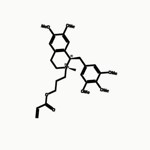 C=CC(=O)OCCC[N@+]1(C)CCc2cc(OC)c(OC)cc2[C@H]1Cc1cc(OC)c(OC)c(OC)c1